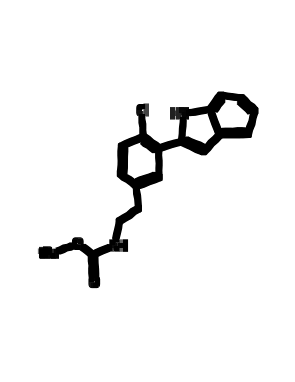 CC(C)(C)OC(=O)NCCc1ccc(Cl)c(-c2cc3ccccc3[nH]2)c1